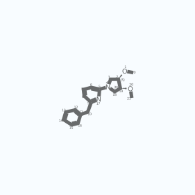 CO[C@H]1CN(c2cccc(Cc3ccccc3)n2)C[C@H]1OC